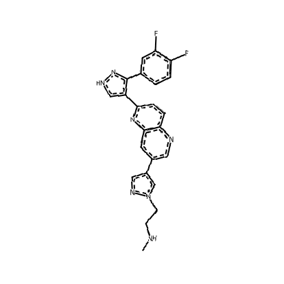 CNCCn1cc(-c2cnc3ccc(-c4c[nH]nc4-c4ccc(F)c(F)c4)nc3c2)cn1